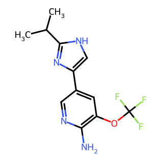 CC(C)c1nc(-c2cnc(N)c(OC(F)(F)F)c2)c[nH]1